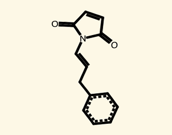 O=C1C=CC(=O)N1C=CCc1ccccc1